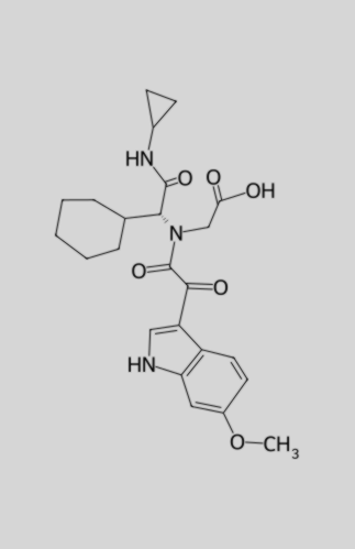 COc1ccc2c(C(=O)C(=O)N(CC(=O)O)[C@@H](C(=O)NC3CC3)C3CCCCC3)c[nH]c2c1